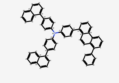 c1ccc(-c2cccc3c2ccc2c(-c4ccc(N(c5ccc(-c6cccc7ccccc67)cc5)c5ccc(-c6cccc7ccccc67)cc5)cc4)cccc23)cc1